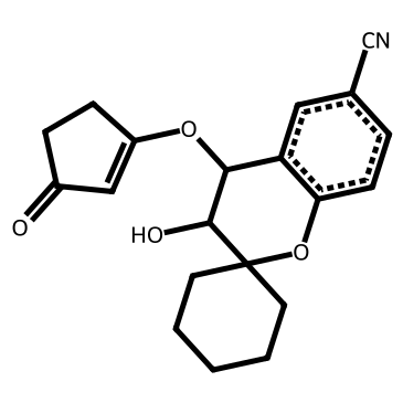 N#Cc1ccc2c(c1)C(OC1=CC(=O)CC1)C(O)C1(CCCCC1)O2